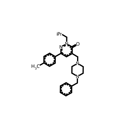 Cc1ccc(-c2cc(CN3CCN(Cc4ccccc4)CC3)c(=O)n(CC(C)C)n2)cc1